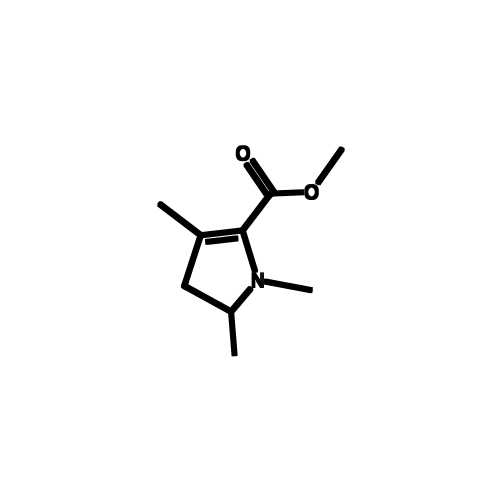 COC(=O)C1=C(C)CC(C)N1C